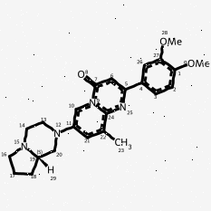 COc1ccc(-c2cc(=O)n3cc(N4CCN5CCC[C@H]5C4)cc(C)c3n2)cc1OC